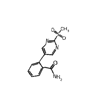 CS(=O)(=O)c1ncc(-c2ccccc2C(N)=O)cn1